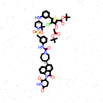 CC(C)(C)OC(=O)COc1c(C(=O)OC(C)(C)C)sc(-c2cccc(N[C@H]3CCN(S(=O)(=O)Cc4cccc(NC(=O)N5CCC[C@H](c6ccc7c8c(cccc68)N(C6CCC(=O)NC6=O)C7=O)CC5)c4)C(C)(C)C3)c2)c1Cl